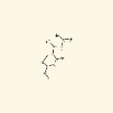 COC(OC)OC(O)OC(O)OC(O)O